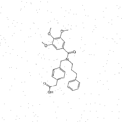 COc1cc(C(=O)N(CCCc2ccccc2)Cc2ccc(CC(=O)O)cc2)cc(OC)c1OC